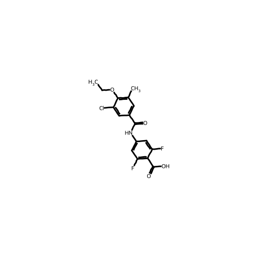 CCOc1c(C)cc(C(=O)Nc2cc(F)c(C(=O)O)c(F)c2)cc1Cl